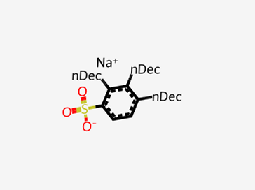 CCCCCCCCCCc1ccc(S(=O)(=O)[O-])c(CCCCCCCCCC)c1CCCCCCCCCC.[Na+]